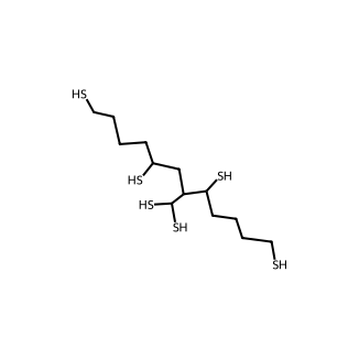 SCCCCC(S)CC(C(S)S)C(S)CCCCS